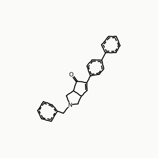 O=C1C(c2ccc(-c3ccccc3)cc2)=CC2CN(Cc3ccccc3)CC12